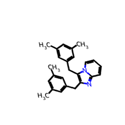 Cc1cc(C)cc(Cc2nc3ccccn3c2Cc2cc(C)cc(C)c2)c1